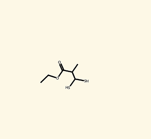 CCOC(=O)C(C)C(S)S